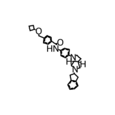 O=C(Nc1ccc(N2CC[C@@H]3CN(C4Cc5ccccc5C4)C[C@@H]32)cc1)c1ccc(COC2CCC2)cc1